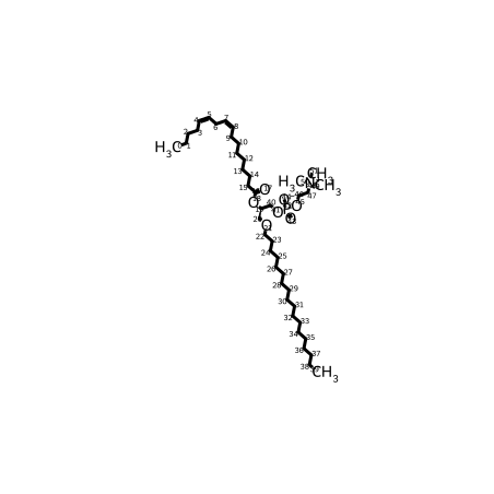 CCCC/C=C\C/C=C\CCCCCCCC(=O)O[C@H](COCCCCCCCCCCCCCCCCCC)COP(=O)([O-])OCC[N+](C)(C)C